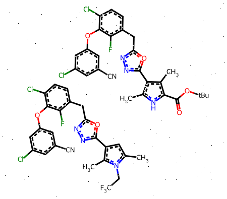 Cc1[nH]c(C(=O)OC(C)(C)C)c(C)c1-c1nnc(Cc2ccc(Cl)c(Oc3cc(Cl)cc(C#N)c3)c2F)o1.Cc1cc(-c2nnc(Cc3ccc(Cl)c(Oc4cc(Cl)cc(C#N)c4)c3F)o2)c(C)n1CC(F)(F)F